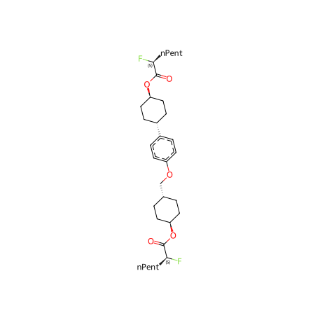 CCCCC[C@H](F)C(=O)O[C@H]1CC[C@H](COc2ccc([C@H]3CC[C@H](OC(=O)[C@@H](F)CCCCC)CC3)cc2)CC1